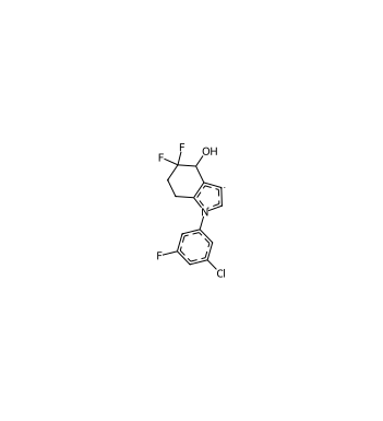 OC1c2[c]cn(-c3cc(F)cc(Cl)c3)c2CCC1(F)F